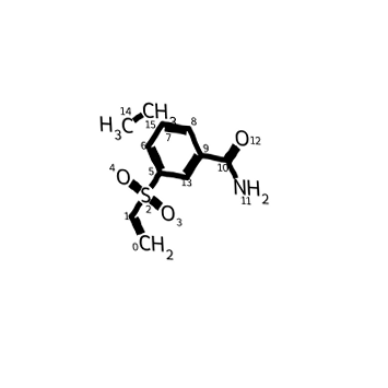 C=CS(=O)(=O)c1cccc(C(N)=O)c1.CC